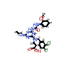 C=CCNc1nc(NC(=O)Nc2ccccc2OC)nc(N(CCC(=O)O)Cc2ccc(Cl)c(Cl)c2)n1